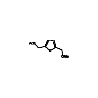 COCc1ccc(COC(C)=O)o1